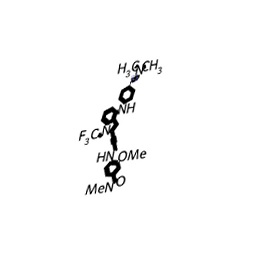 CNC(=O)c1ccc(NCC#Cc2cc3c(N[C@H]4CC[C@@H](/C=C/N(C)C)CC4)cccc3n2CC(F)(F)F)c(OC)c1